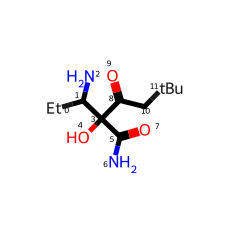 CCC(N)C(O)(C(N)=O)C(=O)CC(C)(C)C